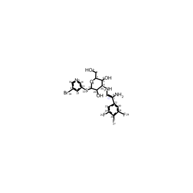 N/C(=C\N[C@@H]1C(O)C(CO)OC(Sc2cncc(Br)c2)C1O)c1cc(F)c(F)c(F)c1